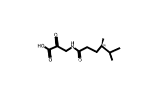 CC(C)[C@H](C)CCC(=O)NCC(=O)C(=O)O